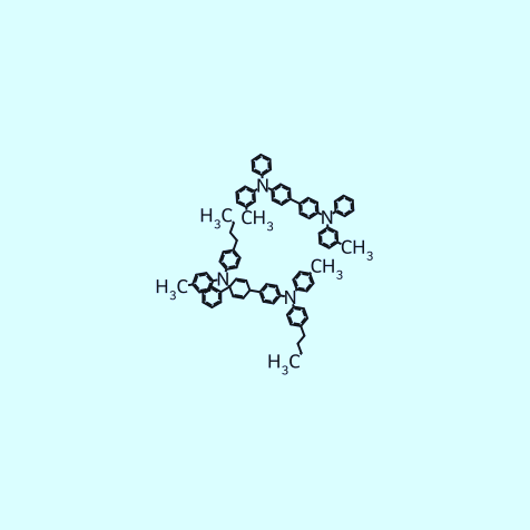 CCCCc1ccc(N(c2ccc(C)cc2)c2ccc(C3C=CC(c4ccccc4)(N(c4ccc(C)cc4)c4ccc(CCCC)cc4)C=C3)cc2)cc1.Cc1cccc(N(c2ccccc2)c2ccc(-c3ccc(N(c4ccccc4)c4cccc(C)c4)cc3)cc2)c1